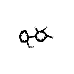 CNc1ccccc1-c1ccc(F)c(F)c1F